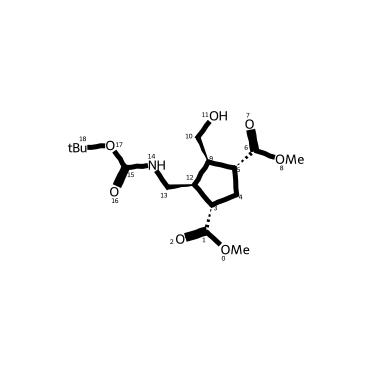 COC(=O)[C@H]1C[C@@H](C(=O)OC)[C@H](CO)[C@@H]1CNC(=O)OC(C)(C)C